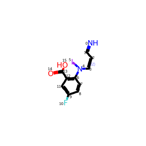 N=C/C=C\N(I)c1ccc(F)cc1C(=O)O